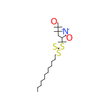 CCCCCCCCCCCCSC(=S)SC(C)(C)C(CC(C)(C)C(C)(C)C=O)C(=O)N(C)C